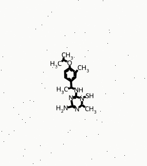 Cc1cc(C(C)NC2=NC(N)=NC(C)N2S)ccc1OC(C)C